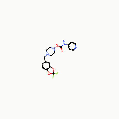 O=C(Nc1ccncc1)ON1CCN(Cc2ccc3c(c2)OC(F)(F)O3)CC1